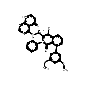 COc1cc(OC)cc(-c2cccc3c(Cl)c([C@H](C)Nc4ncnc5[nH]ccc(=O)c45)n(-c4ccccc4)c(=O)c23)c1